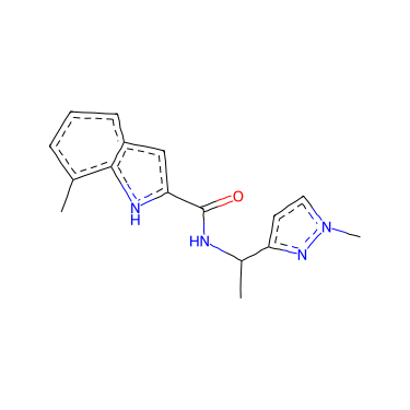 Cc1cccc2cc(C(=O)NC(C)c3ccn(C)n3)[nH]c12